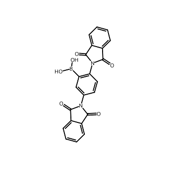 O=C1c2ccccc2C(=O)N1c1ccc(N2C(=O)c3ccccc3C2=O)c(B(O)O)c1